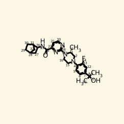 C[C@@H]1CN(c2ccc(C(C)(C)O)cc2F)CCN1c1nccc(C(=O)NC2CC3CCC2C3)n1